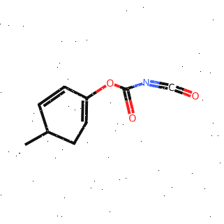 CC1C=CC(OC(=O)N=C=O)=CC1